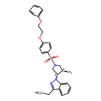 C[C@@H]1CN(S(=O)(=O)c2ccc(OCCOc3ccccc3)cc2)C[C@@H]1n1nc(CC(=O)O)c2ccccc21